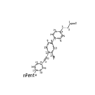 C=CCCc1ccc(-c2ccc(C#Cc3ccc(CCCCC)cc3)c(F)c2)cc1